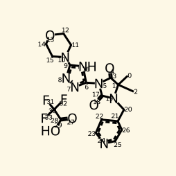 CC1(C)C(=O)N(c2nnc(N3CCOCC3)[nH]2)C(=O)N1Cc1ccncc1.O=C(O)C(F)(F)F